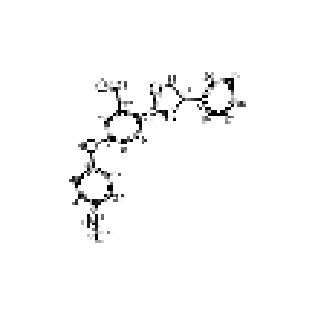 [C-]#[N+]c1ccc(Oc2ccc(B3OCC(c4ccccc4)O3)c(C=O)c2)cc1